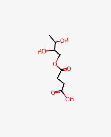 CC(O)C(O)COC(=O)CCC(=O)O